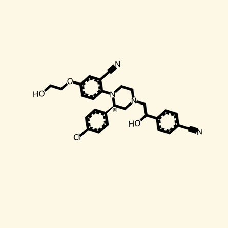 N#Cc1ccc(C(O)CN2CCN(c3ccc(OCCO)cc3C#N)[C@H](c3ccc(Cl)cc3)C2)cc1